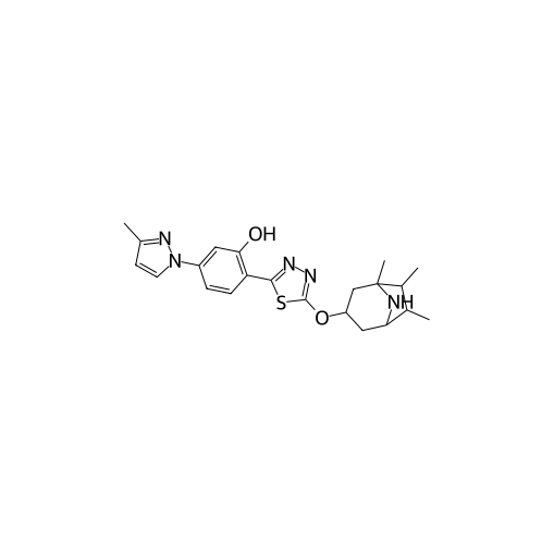 Cc1ccn(-c2ccc(-c3nnc(OC4CC5NC(C)(C4)C(C)C5C)s3)c(O)c2)n1